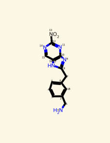 NCc1cccc(Cc2nc3nc([N+](=O)[O-])ncc3[nH]2)c1